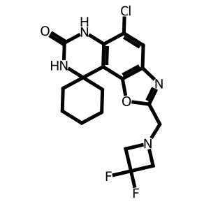 O=C1Nc2c(Cl)cc3nc(CN4CC(F)(F)C4)oc3c2C2(CCCCC2)N1